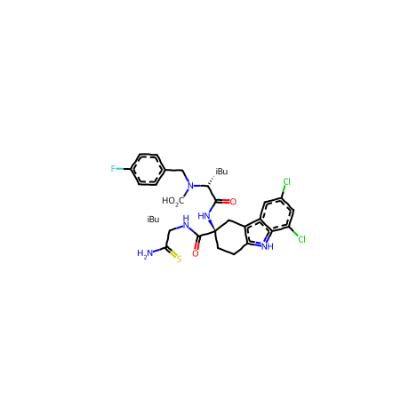 CC[C@H](C)C(NC(=O)[C@@]1(NC(=O)C([C@@H](C)CC)N(Cc2ccc(F)cc2)C(=O)O)CCc2[nH]c3c(Cl)cc(Cl)cc3c2C1)C(N)=S